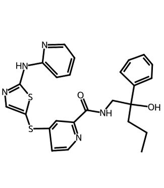 CCCC(O)(CNC(=O)c1cc(Sc2cnc(Nc3ccccn3)s2)ccn1)c1ccccc1